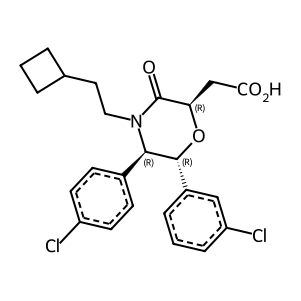 O=C(O)C[C@H]1O[C@H](c2cccc(Cl)c2)[C@@H](c2ccc(Cl)cc2)N(CCC2CCC2)C1=O